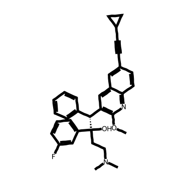 COc1nc2ccc(C#CC3CC3)cc2cc1[C@@H](c1ccccc1)C(O)(CCN(C)C)c1cccc(F)c1